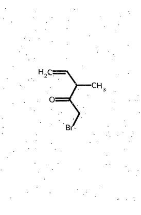 C=CC(C)C(=O)CBr